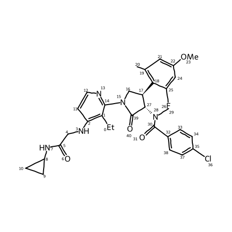 CCc1c(NCC(=O)NC2CC2)ccnc1N1C[C@@H](c2c(C)cc(OC)cc2F)[C@H](N(C)C(=O)c2ccc(Cl)cc2)C1=O